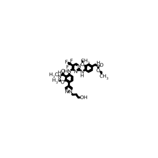 CCO[PH](=O)Cc1ccc(Nc2ncc(C(F)(F)F)c(Nc3ccc(-c4cnn(CCCO)c4)c(OC)c3C(=O)NC)n2)c(OC)c1